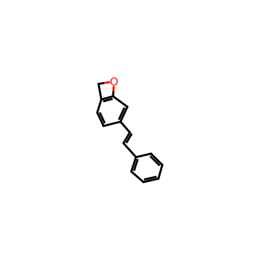 C(=C\c1ccc2c(c1)OC2)/c1ccccc1